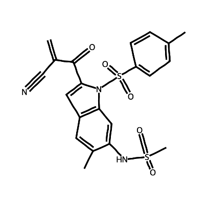 C=C(C#N)C(=O)c1cc2cc(C)c(NS(C)(=O)=O)cc2n1S(=O)(=O)c1ccc(C)cc1